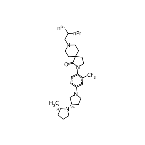 CCCC(CCC)CN1CCC2(CC1)CCN(c1ccc(N3CC[C@H](N4CCC[C@@H]4C)C3)cc1C(F)(F)F)C2=O